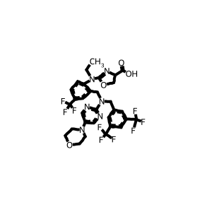 CCN(C1=NC(C(=O)O)CO1)c1ccc(C(F)(F)F)cc1CN(Cc1cc(C(F)(F)F)cc(C(F)(F)F)c1)c1ncc(N2CCOCC2)cn1